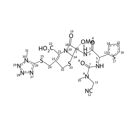 CO[C@@]1(NC(=O)C(NC(=O)N(C)CC#N)c2cccs2)C(=O)N2C(C(=O)O)=C(CSc3nnnn3C)CSC21